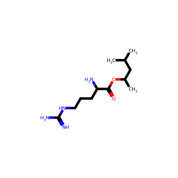 CC(C)CC(C)OC(=O)C(N)CCCNC(=N)N